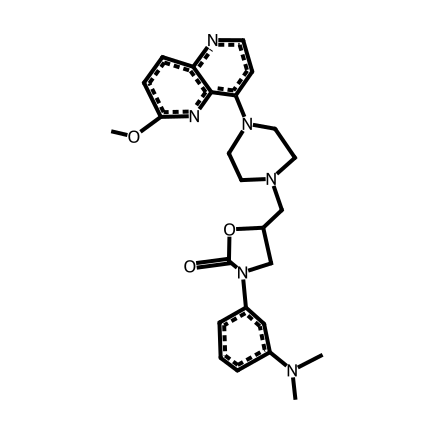 COc1ccc2nccc(N3CCN(CC4CN(c5cccc(N(C)C)c5)C(=O)O4)CC3)c2n1